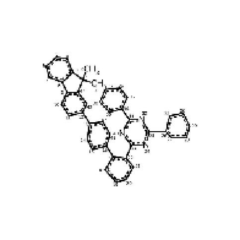 CC1(C)c2ccccc2-c2ccc(-c3ccc(-c4ccccc4-c4nc(-c5ccccc5)nc(-c5ccccc5)n4)cc3)cc21